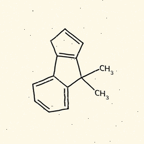 CC1(C)C2=C(CC=C2)c2ccccc21